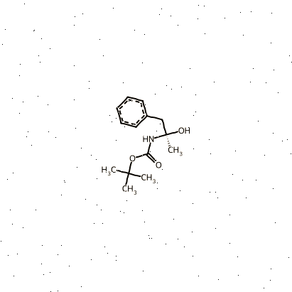 CC(C)(C)OC(=O)N[C@](C)(O)Cc1ccccc1